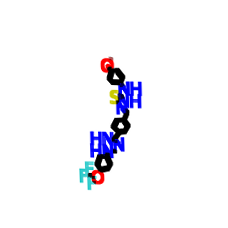 COc1ccc(NC(=S)N/N=C/c2ccc(C(=N)/N=C\Nc3ccc(OC(F)(F)F)cc3)cc2)cc1